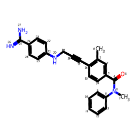 Cc1cc(C(=O)N(C)c2ccccc2)ccc1C#CCNc1ccc(C(=N)N)cc1